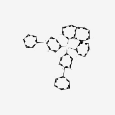 c1ccc(-c2ccc([N+](c3ccccc3)(c3ccc(-c4ccccc4)cc3)c3cccc4ccccc34)cc2)cc1